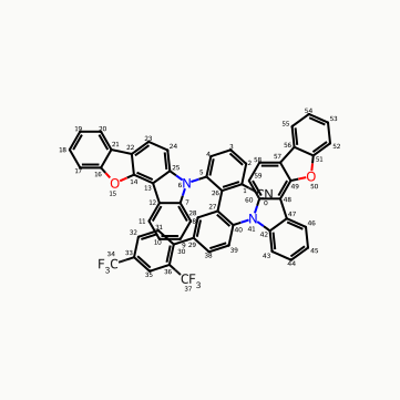 N#Cc1cccc(-n2c3ccccc3c3c4oc5ccccc5c4ccc32)c1-c1cc(-c2ccc(C(F)(F)F)cc2C(F)(F)F)ccc1-n1c2ccccc2c2c3oc4ccccc4c3ccc21